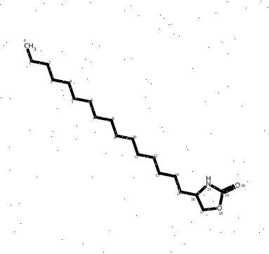 CCCCCCCCCCCCCCCCC1COC(=O)N1